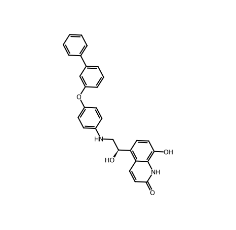 O=c1ccc2c([C@@H](O)CNc3ccc(Oc4cccc(-c5ccccc5)c4)cc3)ccc(O)c2[nH]1